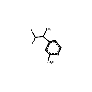 CC(c1ccnc(C(=O)O)c1)C(F)F